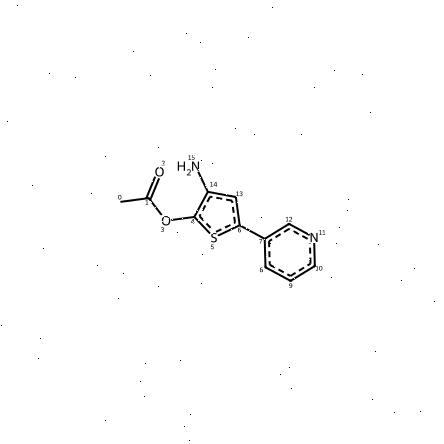 CC(=O)Oc1sc(-c2cccnc2)cc1N